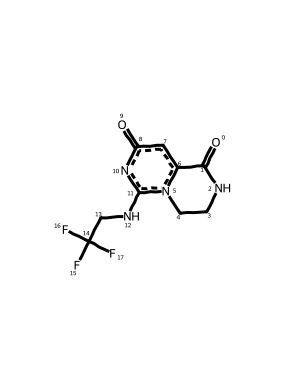 O=C1NCCn2c1cc(=O)nc2NCC(F)(F)F